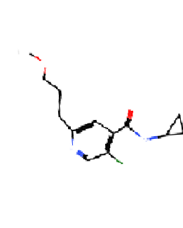 COCCCc1cc(C(=O)NC2CC2)c(Cl)cn1